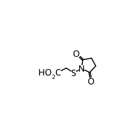 O=C(O)CSN1C(=O)CCC1=O